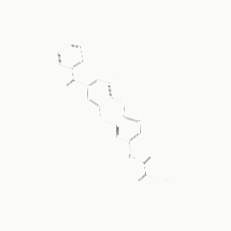 COC(=O)C(=O)Nc1cc(Cl)c(Oc2c(C)cc(C(=O)c3ccccc3)cc2C)c(Cl)c1